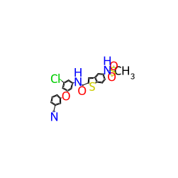 CS(=O)(=O)Nc1ccc2sc(C(=O)Nc3cc(Cl)cc(Oc4cccc(C#N)c4)c3)cc2c1